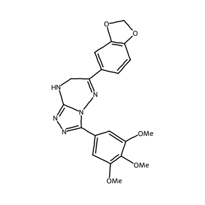 COc1cc(-c2nnc3n2N=C(c2ccc4c(c2)OCO4)CN3)cc(OC)c1OC